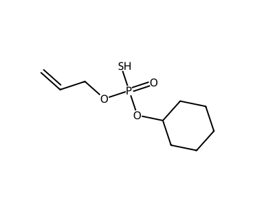 C=CCOP(=O)(S)OC1CCCCC1